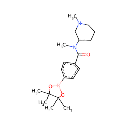 CN1CCCC(N(C)C(=O)c2ccc(B3OC(C)(C)C(C)(C)O3)cc2)C1